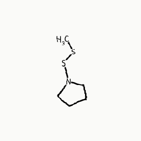 CSSN1CCCC1